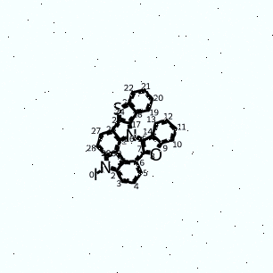 In1c2cccc3c4oc5ccccc5c4n4c5c6ccccc6sc5c5ccc1c(c32)c54